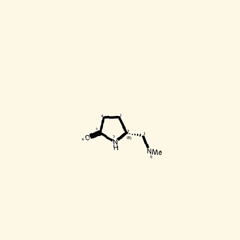 CNC[C@H]1CCC(=O)N1